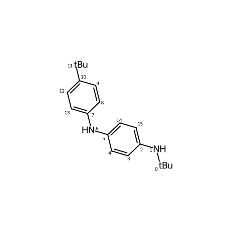 CC(C)(C)Nc1ccc(Nc2ccc(C(C)(C)C)cc2)cc1